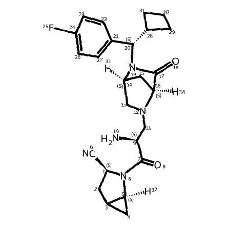 N#C[C@@H]1CC2C[C@@H]2N1C(=O)[C@@H](N)CN1C[C@@H]2C[C@H]1C(=O)N2[C@H](c1ccc(F)cc1)C1CCC1